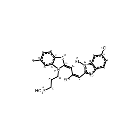 CCC(=Cc1sc2ccc(Cl)cc2[n+]1CC)C=C1Sc2ccc(C)cc2N1CCCS(=O)(=O)O